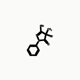 CC(C)(C)C1=NN(c2ccccc2)C(=O)C1(C)Br